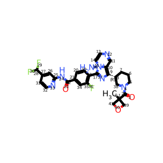 CC1(C(=O)N2CCC[C@@H](C3=C4C=NC=C[N+]4(N)C(c4ccc(C(=O)Nc5cc(C(F)F)ccn5)cc4F)=N3)C2)COC1